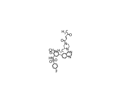 COc1ncc(-c2ccc3ncnc(N4CCN(C(=O)/C=C/C(C)=O)C[C@@H]4C)c3c2)cc1NS(=O)(=O)c1ccc(F)cc1